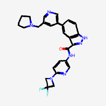 O=C(Nc1ccc(N2CC(F)(F)C2)nc1)c1n[nH]c2ccc(-c3cncc(CN4CCCC4)c3)cc12